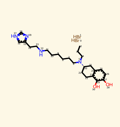 Br.Br.CCCN(CCCCCCNCCc1c[nH]cn1)[C@H]1CCc2c(ccc(O)c2O)C1